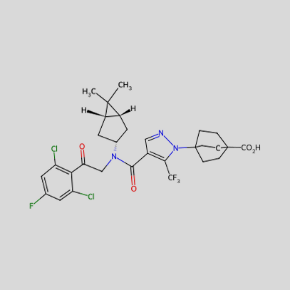 CC1(C)[C@@H]2C[C@H](N(CC(=O)c3c(Cl)cc(F)cc3Cl)C(=O)c3cnn(C45CCC(C(=O)O)(CC4)CC5)c3C(F)(F)F)C[C@@H]21